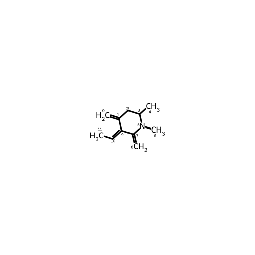 C=C1CC(C)N(C)C(=C)/C1=C/C